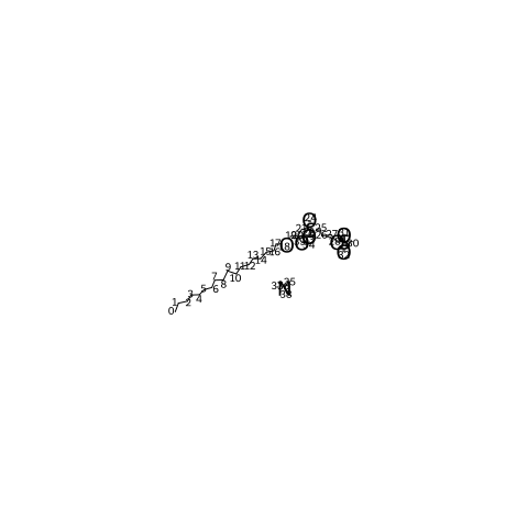 CCCCCCCCCCCCCCCCCCOCC(CS(=O)(=O)CCCOS(C)(=O)=O)OC.CN(C)C